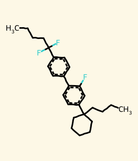 CCCCC(F)(F)c1ccc(-c2ccc(C3(CCCC)CCCCC3)cc2F)cc1